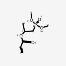 C=CC(=O)OC(C)CP(=O)(OC)OC